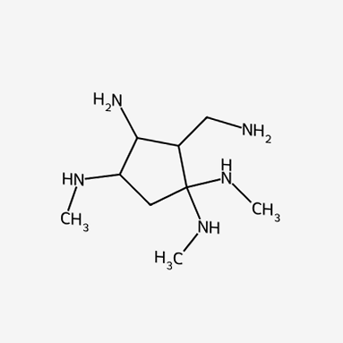 CNC1CC(NC)(NC)C(CN)C1N